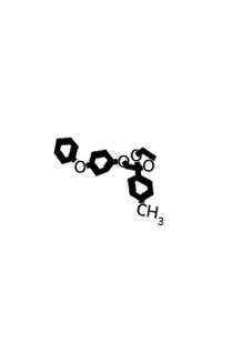 Cc1ccc(C2(COc3ccc(Oc4ccccc4)cc3)OCCO2)cc1